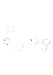 O=C1NC(=O)C(=Cc2ccnc(N3CCC(CNCc4cc(-c5cccc6cnccc56)nc(C(F)(F)F)c4)CC3)n2)S1